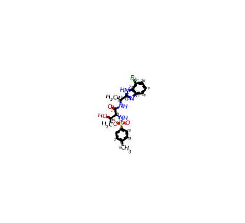 Cc1ccc(S(=O)(=O)N[C@H](C(=O)N[C@@H](C)c2nc3cccc(F)c3[nH]2)[C@@H](C)O)cc1